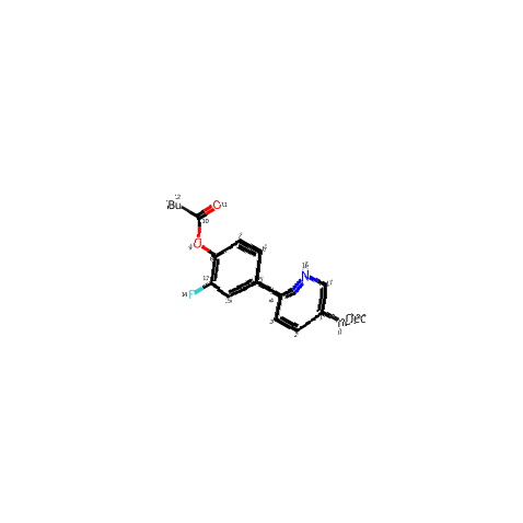 CCCCCCCCCCc1ccc(-c2ccc(OC(=O)C(C)CC)c(F)c2)nc1